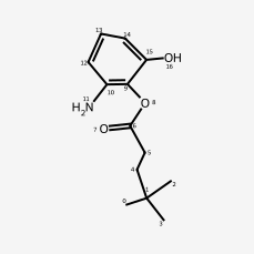 CC(C)(C)CCC(=O)Oc1c(N)cccc1O